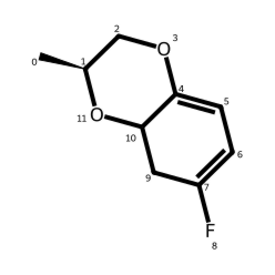 C[C@H]1COC2=CC=C(F)CC2O1